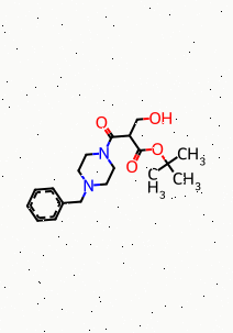 CC(C)(C)OC(=O)C(CO)C(=O)N1CCN(Cc2ccccc2)CC1